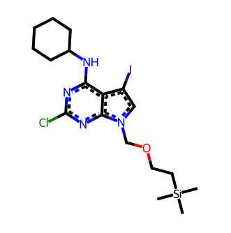 C[Si](C)(C)CCOCn1cc(I)c2c(NC3CCCCC3)nc(Cl)nc21